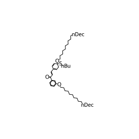 CCCCCCCCCCCCCCCCCCCCOc1cccc(C(=O)C=CC2=CCC(OCCCCCCCCCCCCCCCCCCCC)(SCCCC)C=C2)c1